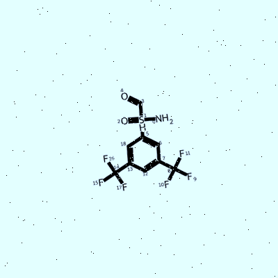 N[SH](=O)(C=O)c1cc(C(F)(F)F)cc(C(F)(F)F)c1